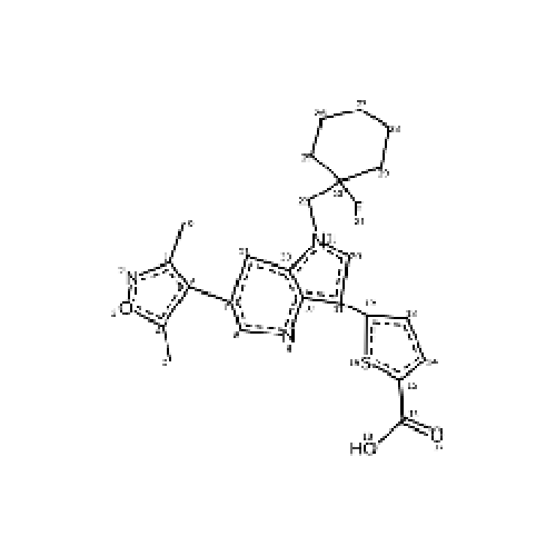 Cc1noc(C)c1-c1cnc2c(-c3ccc(C(=O)O)s3)cn(CC3(F)CCCCC3)c2c1